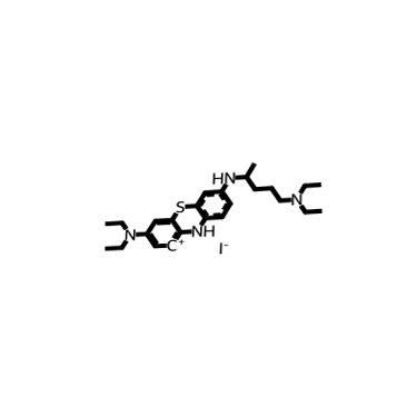 CCN(CC)CCCC(C)Nc1ccc2c(c1)SC1=CC(N(CC)CC)=C[C+]=C1N2.[I-]